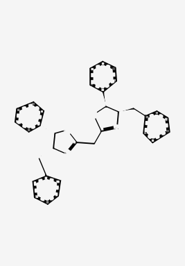 c1ccc(C[C@H]2N=C(CC3=N[C@H](Cc4ccccc4)[C@H](c4ccccc4)O3)O[C@H]2c2ccccc2)cc1